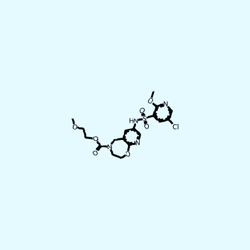 COCCOC(=O)N1CCOc2ncc(NS(=O)(=O)c3cc(Cl)cnc3OC)cc2C1